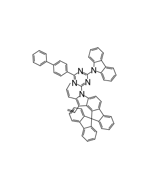 C=Cc1c(/C=C\C)n(-c2nc(-c3ccc(-c4ccccc4)cc3)nc(-n3c4ccccc4c4ccccc43)n2)c2ccc3c(c12)C1(c2ccccc2-c2ccccc21)c1ccccc1-3